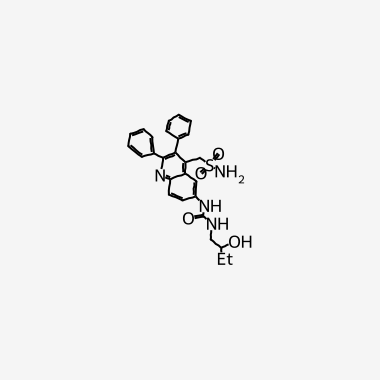 CCC(O)CNC(=O)Nc1ccc2nc(-c3ccccc3)c(-c3ccccc3)c(CS(N)(=O)=O)c2c1